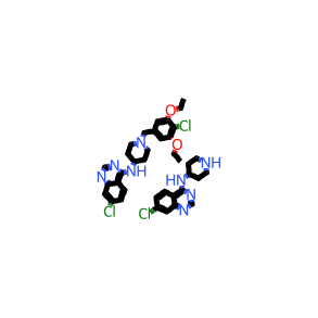 CCOc1cc(CN2CCC(Nc3ncnc4cc(Cl)ccc34)CC2)cc(OCC)c1Cl.Clc1ccc2c(NC3CCNCC3)ncnc2c1